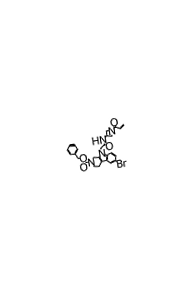 C=CC(=O)N1CC(NC(=O)Cn2c3c(c4cc(Br)ccc42)CCN(C(=O)OCc2cc#ccc2)C3)C1